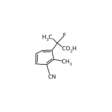 Cc1c(C#N)cccc1C(C)(F)C(=O)O